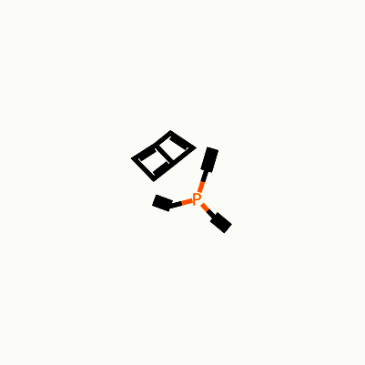 C#CP(C#C)C#C.c1cc2ccc1-2